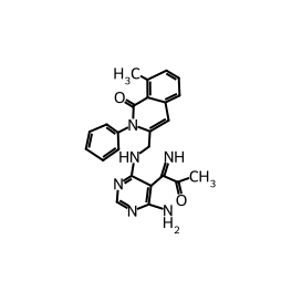 CC(=O)C(=N)c1c(N)ncnc1NCc1cc2cccc(C)c2c(=O)n1-c1ccccc1